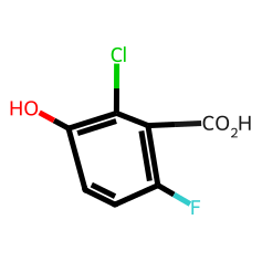 O=C(O)c1c(F)ccc(O)c1Cl